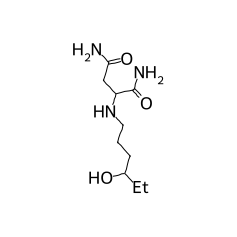 CCC(O)CCCNC(CC(N)=O)C(N)=O